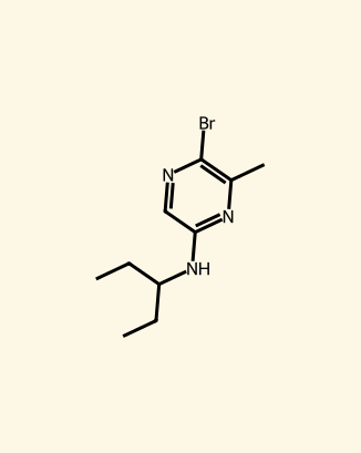 CCC(CC)Nc1cnc(Br)c(C)n1